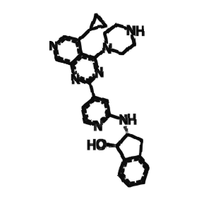 O[C@@H]1c2ccccc2C[C@H]1Nc1cc(-c2nc(N3CCNCC3)c3c(C4CC4)cncc3n2)ccn1